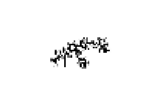 O=C(Nc1nc2ccc(-c3cnc(CO[C@H]4CCC[C@@H]4O)nc3)c(OC[C@H]3CCOC3)c2s1)C1CC1